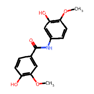 COc1ccc(NC(=O)c2ccc(O)c(OC)c2)cc1O